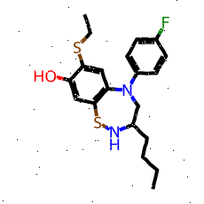 CCCCC1CN(c2ccc(F)cc2)c2cc(SCC)c(O)cc2SN1